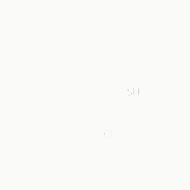 CCS.Clc1ccccc1